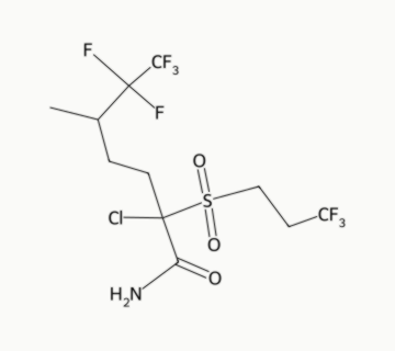 CC(CCC(Cl)(C(N)=O)S(=O)(=O)CCC(F)(F)F)C(F)(F)C(F)(F)F